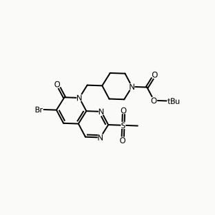 CC(C)(C)OC(=O)N1CCC(Cn2c(=O)c(Br)cc3cnc(S(C)(=O)=O)nc32)CC1